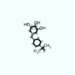 CC(C)(F)[C@H]1CC[C@@H](CN2C[C@@H](O)[C@H](O)[C@@H](O)C2)CC1